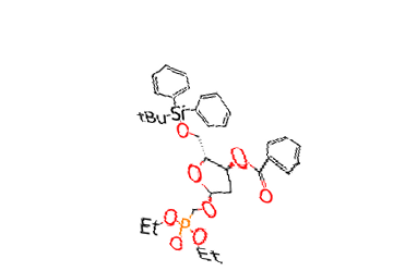 CCOP(=O)(CO[C@@H]1C[C@H](OC(=O)c2ccccc2)[C@@H](CO[Si](c2ccccc2)(c2ccccc2)C(C)(C)C)O1)OCC